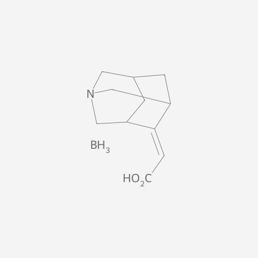 B.O=C(O)C=C1C2CC3CC1CN(C3)C2